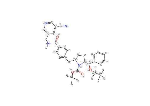 CN(Cc1cncc(C#N)c1)C(=O)c1ccc(CC2CCC([C@H](O[Si](C)(C)C(C)(C)C)c3ccccc3)N2C(=O)OC(C)(C)C)cc1